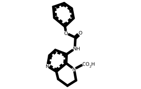 O=C(Nc1ccnc2c1N(C(=O)O)CCC2)Oc1ccccc1